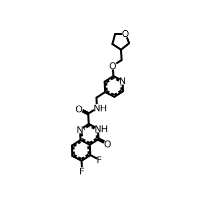 O=C(NCc1ccnc(OCC2CCOC2)c1)c1nc2ccc(F)c(F)c2c(=O)[nH]1